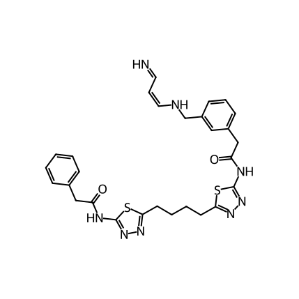 N=C/C=C\NCc1cccc(CC(=O)Nc2nnc(CCCCc3nnc(NC(=O)Cc4ccccc4)s3)s2)c1